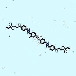 C=CC(=O)OCCN(C)c1ccc(/N=N/c2ccc(NNc3ccc(/N=N/c4ccc(N(C)CCOC(=O)C=C)cc4)c(C)c3)c(F)c2)cc1